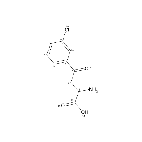 NC(CC(=O)c1cccc(Cl)c1)C(=O)O